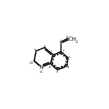 C=Cc1cccc2c1=CCCN=2